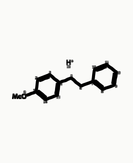 COc1ccc(CCc2cc[c]cc2)cc1.[H+]